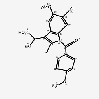 CCC(C)C(C(=O)O)c1c(C)n(C(=O)c2ccc(OC(F)(F)F)cc2)c2cc(Cl)c(OC)cc12